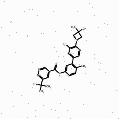 Cc1ccc(NC(=S)c2cnnc(C(C)(C)C#N)c2)cc1-c1cnc(N2CC(C)(O)C2)c(C#N)c1